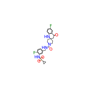 O=C1CC2(CCN(C(=O)NCc3ccc(F)c(NS(=O)(=O)C4CC4)c3)CC2)Nc2ccc(F)cc21